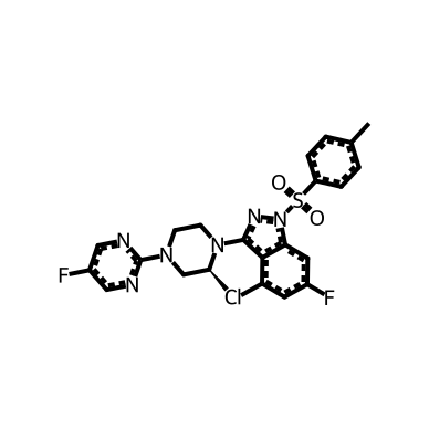 Cc1ccc(S(=O)(=O)n2nc(N3CCN(c4ncc(F)cn4)C[C@@H]3C)c3c(Cl)cc(F)cc32)cc1